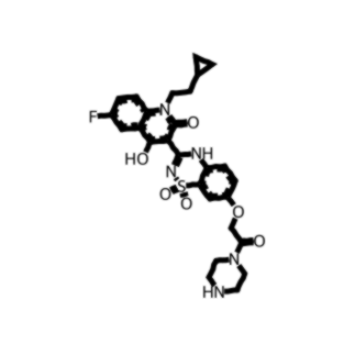 O=C(COc1ccc2c(c1)S(=O)(=O)N=C(c1c(O)c3cc(F)ccc3n(CCC3CC3)c1=O)N2)N1CCNCC1